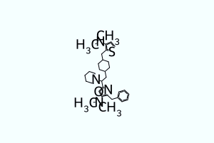 CN(C)c1ccsc1CC1CCC(CC(c2nc(Cc3ccccc3)c(N(C)C)o2)N2CCCCC2)CC1